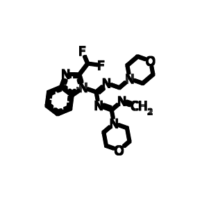 C=N/C(=N\C(=N/CN1CCOCC1)n1c(C(F)F)nc2ccccc21)N1CCOCC1